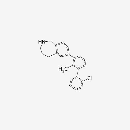 Cc1c(-c2ccc3c(c2)CCCNC3)cccc1-c1ccccc1Cl